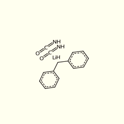 N=C=O.N=C=O.[LiH].c1ccc(Cc2ccccc2)cc1